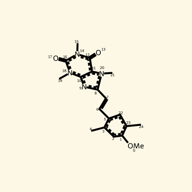 COc1cc(C)c(/C=C/c2nc3c(c(=O)n(C)c(=O)n3C)n2C)cc1C